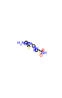 Nc1ccc(CNCC2CCN(c3nccc(/C=C4\SC(=O)NC4=O)n3)CC2)c(-c2ccsc2)n1